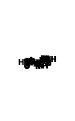 CC(C)c1ncc(-c2ccc3c(c2)C(=O)NC3)cc1-c1ccc2c(c1)C(=O)NC2